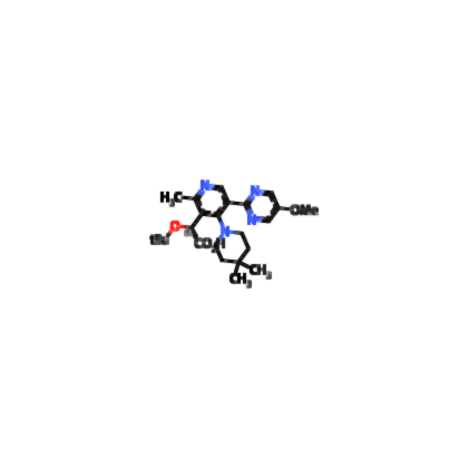 COc1cnc(-c2cnc(C)c([C@H](OC(C)(C)C)C(=O)O)c2N2CCC(C)(C)CC2)nc1